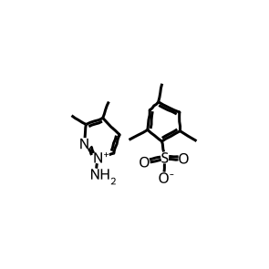 Cc1cc(C)c(S(=O)(=O)[O-])c(C)c1.Cc1cc[n+](N)nc1C